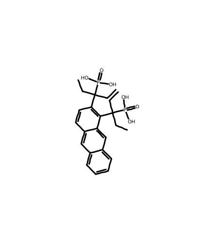 CCC(CC)(c1ccc2cc3ccccc3cc2c1C(CC)(CC)P(=O)(O)O)P(=O)(O)O